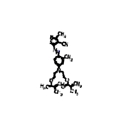 C=C(C)C(=C)OCCN(CCOC(=O)C(=C)C)c1ccc(/N=N/c2snc(C)c2C#N)c(C)c1